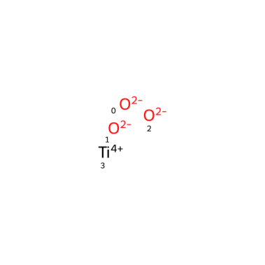 [O-2].[O-2].[O-2].[Ti+4]